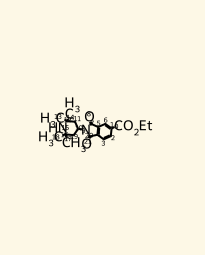 CCOC(=O)c1ccc2c(c1)C(=O)N(C1CC(C)(C)NC(C)(C)C1)C2=O